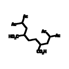 CC(=O)C(CC(CCC(CC(C(C)=O)C(C)=O)C(=O)O)C(=O)O)C(C)=O